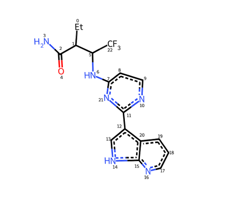 CCC(C(N)=O)C(Nc1ccnc(-c2c[nH]c3ncccc23)n1)C(F)(F)F